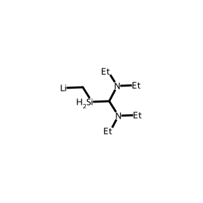 [Li][CH2][SiH2]C(N(CC)CC)N(CC)CC